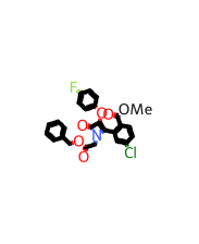 COC(=O)c1ccc(Cl)cc1C1=C(Oc2ccc(F)cc2)C(=O)N1CC(=O)OCc1ccccc1